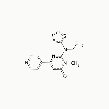 CCN(c1cccs1)c1nc(-c2ccncc2)cc(=O)n1C